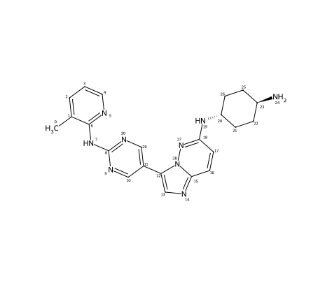 Cc1cccnc1Nc1ncc(-c2cnc3ccc(N[C@H]4CC[C@H](N)CC4)nn23)cn1